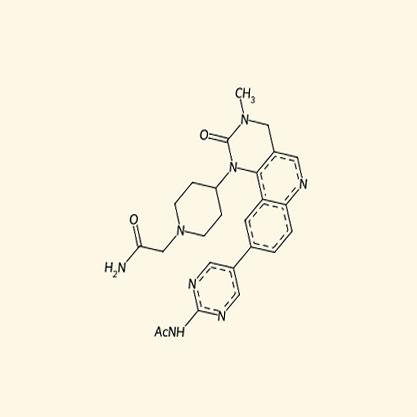 CC(=O)Nc1ncc(-c2ccc3ncc4c(c3c2)N(C2CCN(CC(N)=O)CC2)C(=O)N(C)C4)cn1